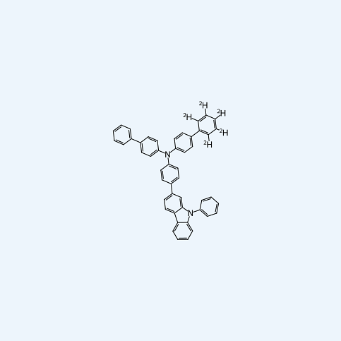 [2H]c1c([2H])c([2H])c(-c2ccc(N(c3ccc(-c4ccccc4)cc3)c3ccc(-c4ccc5c6ccccc6n(-c6ccccc6)c5c4)cc3)cc2)c([2H])c1[2H]